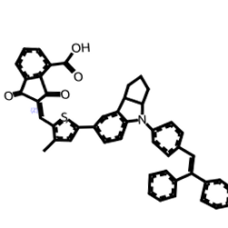 Cc1cc(-c2ccc3c(c2)C2CCCC2N3c2ccc(C=C(c3ccccc3)c3ccccc3)cc2)sc1/C=C1/C(=O)c2cccc(C(=O)O)c2C1=O